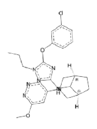 CCCn1nc(NC2[C@@H]3CC[C@H]2CN(c2cnnc(OC)c2)C3)nc1Oc1cccc(Cl)c1